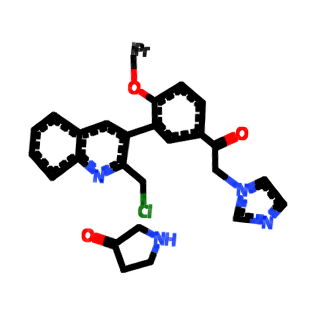 CC(C)Oc1ccc(C(=O)Cn2ccnc2)cc1-c1cc2ccccc2nc1CCl.O=C1CCNC1